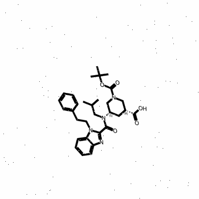 CC(C)CN(C(=O)c1nc2ccccc2n1CCc1ccccc1)[C@H]1C[C@@H](C(=O)O)CN(C(=O)OC(C)(C)C)C1